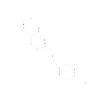 Sc1ccc(NSc2ccc3c(c2)OCCN3)cc1